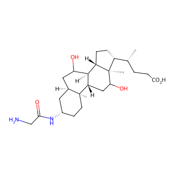 C[C@H](CCC(=O)O)[C@H]1CC[C@H]2[C@@H]3C(O)C[C@@H]4C[C@@H](NC(=O)CN)CC[C@]4(C)[C@H]3CC(O)[C@]12C